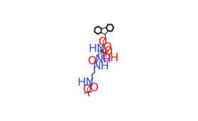 CC(C)(C)OC(=O)NCCCCNC(=O)NC[C@H](NC(=O)OCC1c2ccccc2-c2ccccc21)C(=O)O